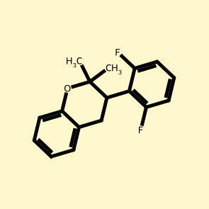 CC1(C)Oc2cc[c]cc2CC1c1c(F)cccc1F